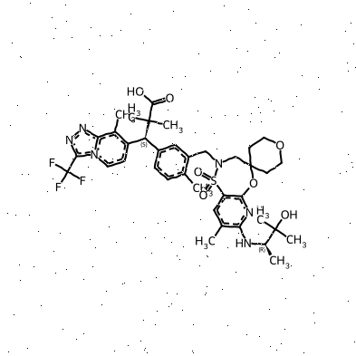 Cc1ccc([C@@H](c2ccn3c(C(F)(F)F)nnc3c2C)C(C)(C)C(=O)O)cc1CN1CC2(CCOCC2)Oc2nc(N[C@H](C)C(C)(C)O)c(C)cc2S1(=O)=O